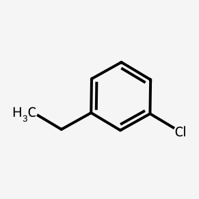 CCc1cccc(Cl)c1